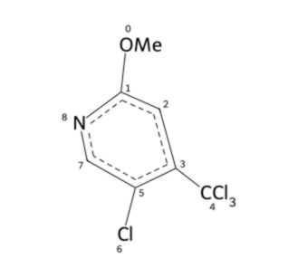 COc1cc(C(Cl)(Cl)Cl)c(Cl)cn1